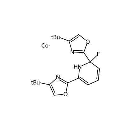 CC(C)(C)c1coc(C2=CC=CC(F)(c3nc(C(C)(C)C)co3)N2)n1.[Co]